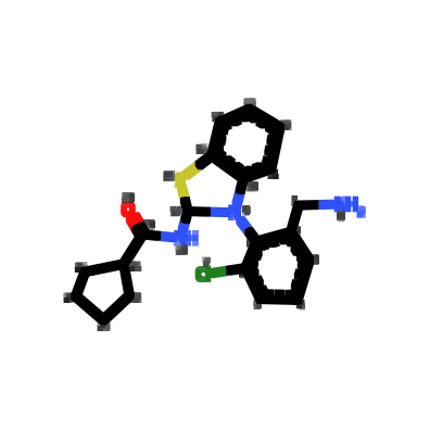 NCc1cccc(Cl)c1N1c2ccccc2SC1NC(=O)C1CCCC1